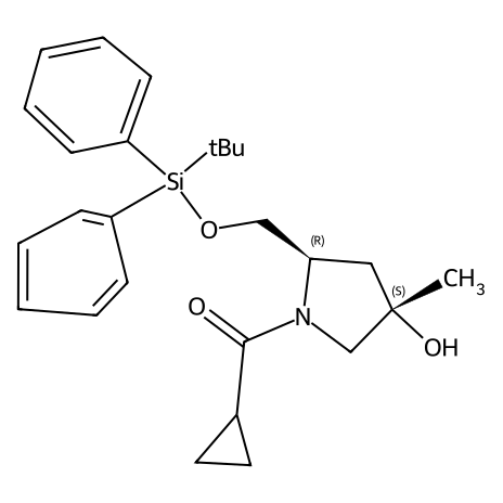 CC(C)(C)[Si](OC[C@H]1C[C@](C)(O)CN1C(=O)C1CC1)(c1ccccc1)c1ccccc1